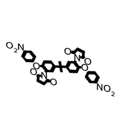 CC(C)(c1ccc(Oc2ccc([N+](=O)[O-])cc2)c(N2C(=O)C=CC2=O)c1)c1ccc(Oc2ccc([N+](=O)[O-])cc2)c(N2C(=O)C=CC2=O)c1